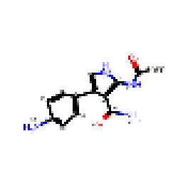 CCCC(=O)Nc1[nH]cc(-c2ccc(N)cc2)c1C(N)=O